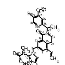 C=Cc1cc(Cn2ccnc2N(C)C(=O)OC(C)(C)C)cc2c1CCN(C(C)c1cc(OCC)c(F)cn1)C2=O